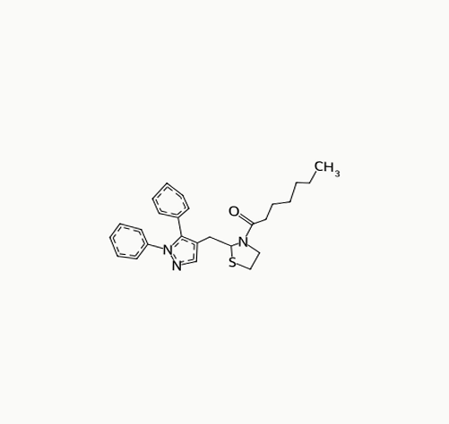 CCCCCCC(=O)N1CCSC1Cc1cnn(-c2ccccc2)c1-c1ccccc1